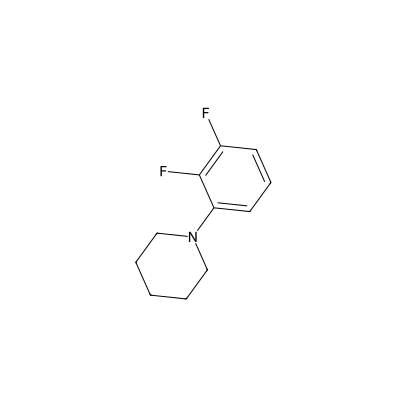 Fc1cccc(N2CCCCC2)c1F